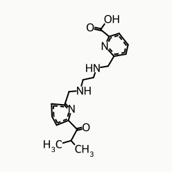 CC(C)C(=O)c1cccc(CNCCNCc2cccc(C(=O)O)n2)n1